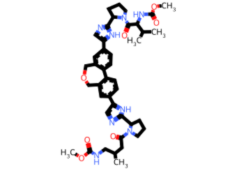 COC(=O)NCC(C)CC(=O)N1CCCC1c1ncc(-c2ccc3c(c2)COCc2cc(-c4cnc(C5CCCN5C(=O)C(NC(=O)OC)C(C)C)[nH]4)ccc2-3)[nH]1